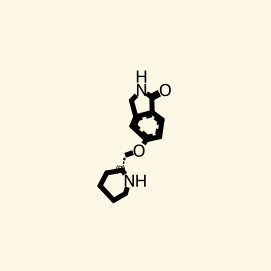 O=C1NCc2cc(OC[C@H]3CCCCN3)ccc21